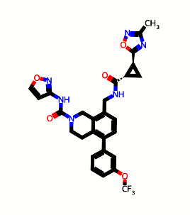 Cc1noc([C@H]2C[C@@H]2C(=O)NCc2ccc(-c3cccc(OC(F)(F)F)c3)c3c2CN(C(=O)Nc2ccon2)CC3)n1